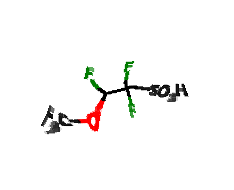 O=S(=O)(O)C(F)(F)C(F)OC(F)(F)F